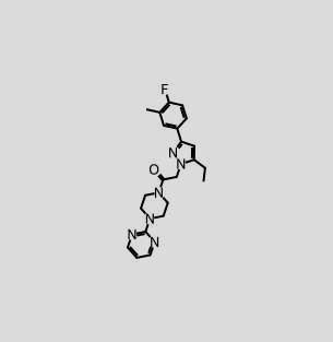 CCc1cc(-c2ccc(F)c(C)c2)nn1CC(=O)N1CCN(c2ncccn2)CC1